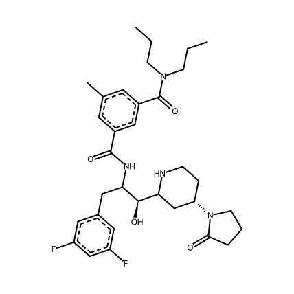 CCCN(CCC)C(=O)c1cc(C)cc(C(=O)NC(Cc2cc(F)cc(F)c2)[C@H](O)C2C[C@@H](N3CCCC3=O)CCN2)c1